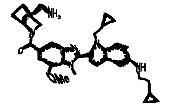 COc1cc(C(=O)N2C[C@@]3(CN)CCC23)cc2nc(-c3cc4cc(NCCC5CC5)ccc4n3CC3CC3)n(C)c12